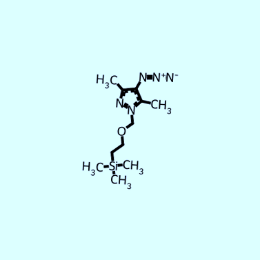 Cc1nn(COCC[Si](C)(C)C)c(C)c1N=[N+]=[N-]